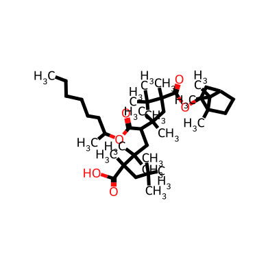 CCCCCCC(C)OC(=O)C(CC(C)(C)C(C)(CC(C)(C)C)C(=O)O)C(C)(C)CC(C)(C(=O)OC1CC2CCC1(C)C2(C)C)C(C)(C)C